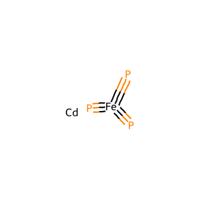 [Cd].[P]#[Fe](#[P])#[P]